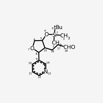 CC(C)(C)[Si](C)(C)OC1COC(c2cccnc2)C1CCC=O